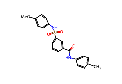 COc1ccc(NS(=O)(=O)c2cccc(C(=O)Nc3ccc(C)cc3)c2)cc1